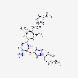 Cc1cc(-c2cnc(N)c(Oc3cnn(C4CCN(C)CC4)c3)n2)cc(C)c1CNc1ccn(C)n1